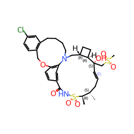 C[C@@H]1[C@@H](C)C/C=C/[C@](O)(CS(C)(=O)=O)[C@@H]2CC[C@H]2CN2CCCCc3cc(Cl)ccc3COc3ccc(cc32)C(=O)NS1(=O)=O